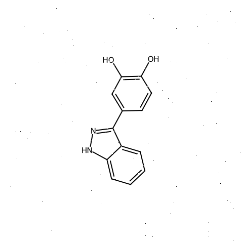 Oc1ccc(-c2n[nH]c3ccccc23)cc1O